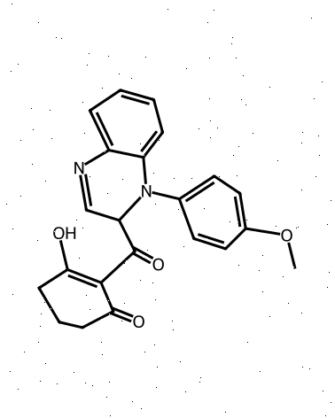 COc1ccc(N2c3ccccc3N=CC2C(=O)C2=C(O)CCCC2=O)cc1